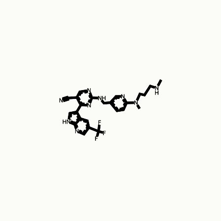 CNCCCN(C)c1ccc(CNc2ncc(C#N)c(-c3c[nH]c4ncc(C(F)(F)F)cc34)n2)cn1